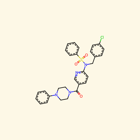 O=C(c1ccc(N(Cc2ccc(Cl)cc2)S(=O)(=O)c2ccccc2)nc1)N1CCN(c2ccccc2)CC1